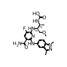 COC[C@@H](Nc1nc(Nc2ccc3c(c2)c(C)nn3C)c(C(N)=O)cc1F)[C@H](C)NC(=O)O